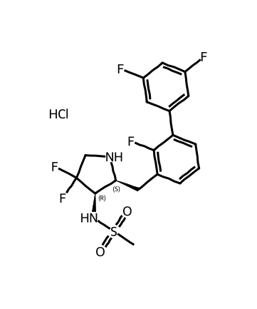 CS(=O)(=O)N[C@@H]1[C@H](Cc2cccc(-c3cc(F)cc(F)c3)c2F)NCC1(F)F.Cl